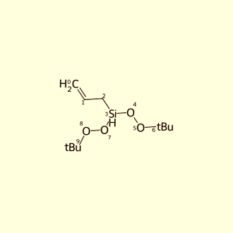 C=CC[SiH](OOC(C)(C)C)OOC(C)(C)C